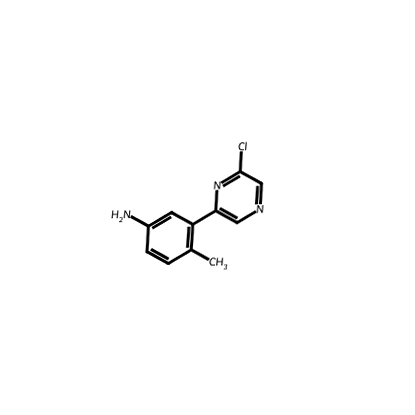 Cc1ccc(N)cc1-c1cncc(Cl)n1